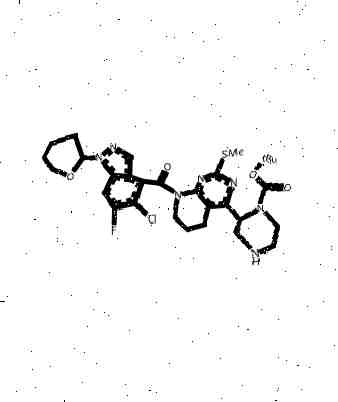 CSc1nc(C2CNCCN2C(=O)OC(C)(C)C)c2c(n1)N(C(=O)c1c(Cl)c(F)cc3c1cnn3C1CCCCO1)CCC2